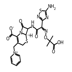 CC(C)(O/N=C(\C(=O)NC1C(=O)N2C(C(=O)[O-])=C(C[n+]3ccccc3)CS[C@H]12)c1nsc(N)n1)C(=O)O